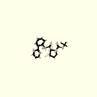 C[C@H]1CCN(C(=O)OC(C)(C)C)[C@@H]1C(=O)Nc1ccccc1-c1ncccn1